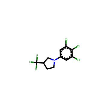 FC(F)(F)C1CCN(c2cc(Cl)c(Cl)c(Cl)c2)C1